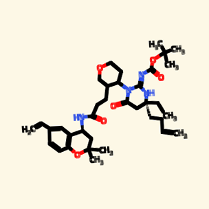 C=CCC[C@]1(CC)CC(=O)N(C2CCOCC2CCC(=O)N[C@H]2CC(C)(C)Oc3ccc(C=C)cc32)/C(=N/C(=O)OC(C)(C)C)N1